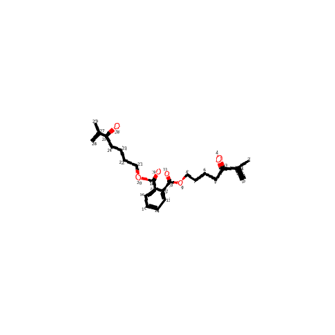 C=C(C)C(=O)CCCCOC(=O)c1ccccc1C(=O)OCCCCC(=O)C(=C)C